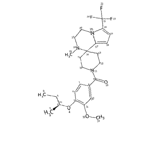 CC[C@H](C)Oc1ccc(C(=O)N2CCC3(CC2)c2ccc(C(F)(F)F)n2CCN3C)cc1OC